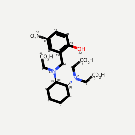 O=C(O)CN(CC(=O)O)[C@@H]1CCCC[C@H]1N(CC(=O)O)Cc1cc([N+](=O)[O-])ccc1O